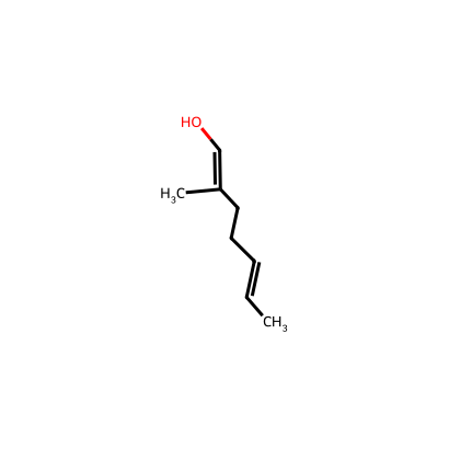 C/C=C/CC/C(C)=C/O